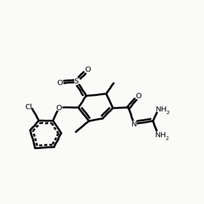 CC1=C(Oc2ccccc2Cl)C(=S(=O)=O)C(C)C(C(=O)N=C(N)N)=C1